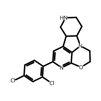 Clc1ccc(-c2cc3c4c(n2)OCCN4C2CCNCC32)c(Cl)c1